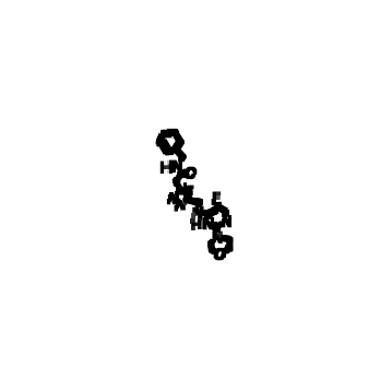 O=C(Cn1cc(CNc2nc(N3CCOCC3)ncc2F)nn1)NCc1ccccc1